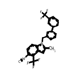 [C-]#[N+]c1ccc2c(cc(C)n2Cc2cccc(-c3cccc(C(F)(F)F)c3)c2)c1C(F)(F)F